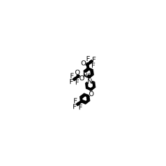 O=C(O[n+]1cc(C(=O)C(F)(F)F)ccc1N1CCC(Oc2ccc(C(F)(F)F)cc2)CC1)C(F)(F)F